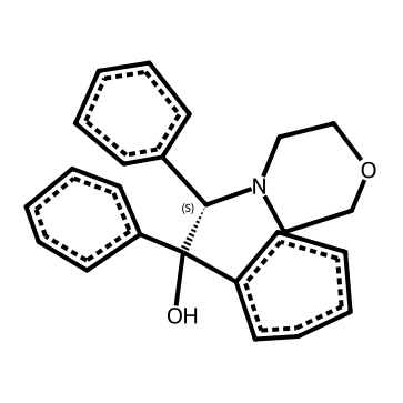 OC(c1ccccc1)(c1ccccc1)[C@H](c1ccccc1)N1CCOCC1